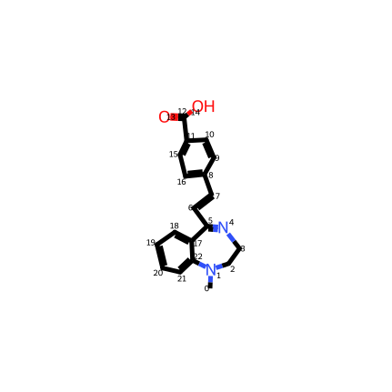 CN1CCN=C(C=Cc2ccc(C(=O)O)cc2)c2ccccc21